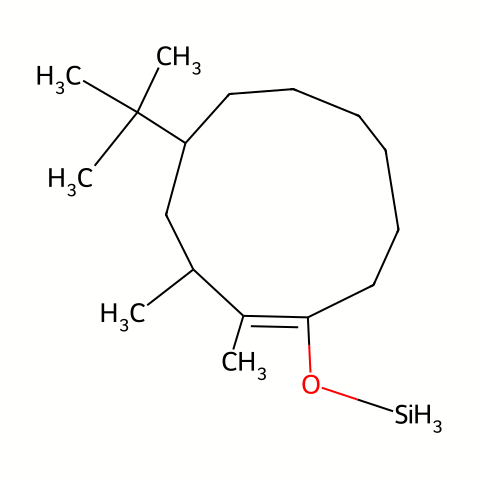 CC1=C(O[SiH3])CCCCCCC(C(C)(C)C)CC1C